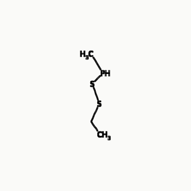 CCSSPC